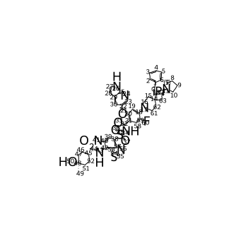 CC(C)c1ccccc1[C@@H]1CCCN1C1CC2(CCN(c3cc(Oc4cnc5[nH]ccc5c4)c(C(=O)NS(=O)(=O)c4cc([N+](=O)[O-])c(NC[C@H]5CC[C@](C)(O)CC5)c5scnc45)cc3F)CC2)C1